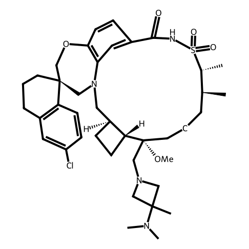 CO[C@@]1(CN2CC(C)(N(C)C)C2)CCC[C@H](C)[C@@H](C)S(=O)(=O)NC(=O)c2ccc3c(c2)N(C[C@@H]2CC[C@H]21)C[C@@]1(CCCc2cc(Cl)ccc21)CO3